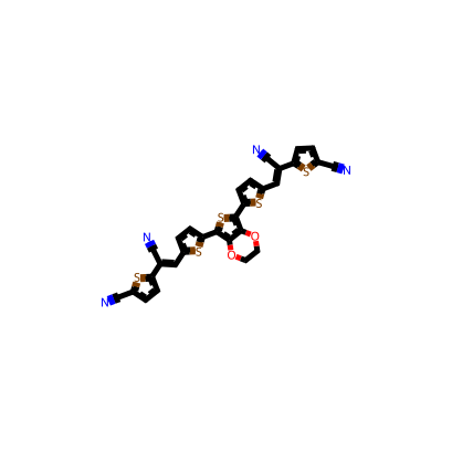 N#C/C(=C\c1ccc(-c2sc(-c3ccc(/C=C(\C#N)c4ccc(C#N)s4)s3)c3c2OCCO3)s1)c1ccc(C#N)s1